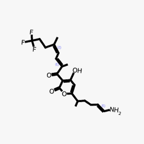 C/C(=C/C=C(\C)C(=O)c1c(O)cc(C(C)CC/C=C/N)oc1=O)CCC(F)(F)F